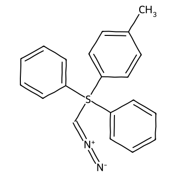 Cc1ccc(S(C=[N+]=[N-])(c2ccccc2)c2ccccc2)cc1